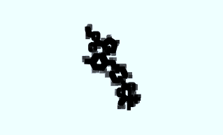 CCOC(=O)C1CCCN1c1cc(C)ccc1CN1CCN(C(=O)OC(C)C(F)(F)F)CC1